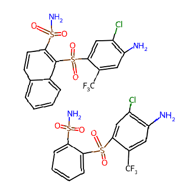 Nc1cc(C(F)(F)F)c(S(=O)(=O)c2c(S(N)(=O)=O)ccc3ccccc23)cc1Cl.Nc1cc(C(F)(F)F)c(S(=O)(=O)c2ccccc2S(N)(=O)=O)cc1Cl